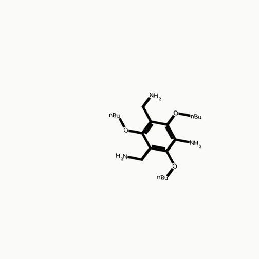 CCCCOc1c(N)c(OCCCC)c(CN)c(OCCCC)c1CN